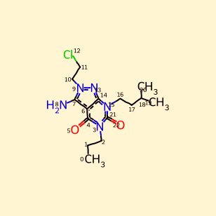 CCCn1c(=O)c2c(N)n(CCCl)nc2n(CCC(C)C)c1=O